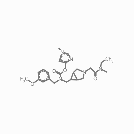 CN(CC(F)(F)F)C(=O)CN1CC2C(C1)C2CN(Cc1cccc(OC(F)(F)F)c1)C(=O)Oc1cn(C)cn1